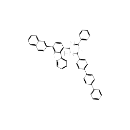 c1ccc(C2=NC(c3ccc(-c4ccc5ccccc5c4)c4oc5ccccc5c34)NC(c3ccc(-c4ccc(-c5ccccc5)cc4)cc3)=N2)cc1